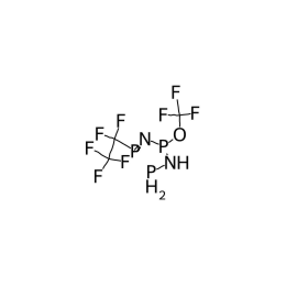 FC(F)(F)OP(N=PC(F)(F)C(F)(F)F)NP